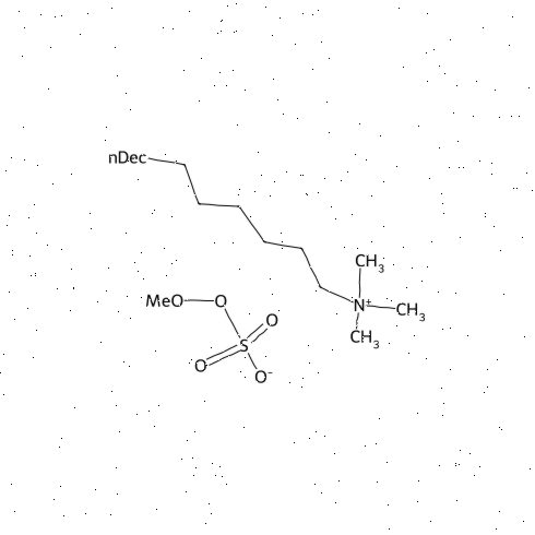 CCCCCCCCCCCCCCCC[N+](C)(C)C.COOS(=O)(=O)[O-]